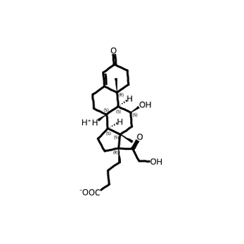 C[C@]12CCC(=O)C=C1CC[C@@H]1[C@@H]2[C@@H](O)C[C@@]2(C)[C@H]1CC[C@@]2(CCCC(=O)[O-])C(=O)CO.[H+]